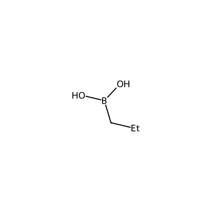 [CH2]CCB(O)O